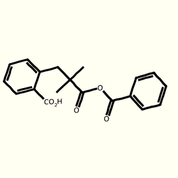 CC(C)(Cc1ccccc1C(=O)O)C(=O)OC(=O)c1ccccc1